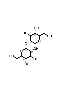 OCC1OC[C@H](O[C@H]2OC(CO)[C@@H](O)C(O)[C@H]2O)C(O)[C@@H]1O